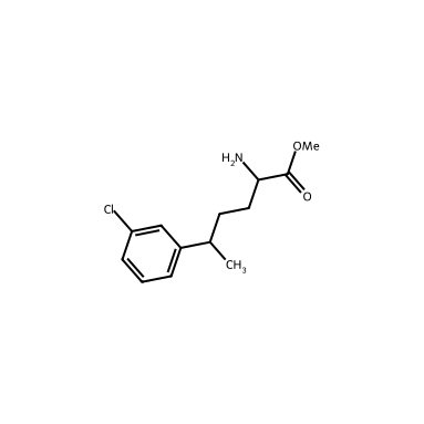 COC(=O)C(N)CCC(C)c1cccc(Cl)c1